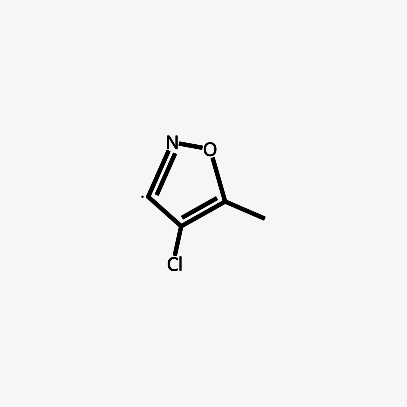 Cc1on[c]c1Cl